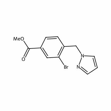 COC(=O)c1ccc(Cn2cccn2)c(Br)c1